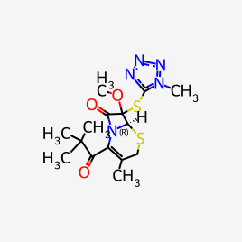 COC1(Sc2nnnn2C)C(=O)N2C(C(=O)C(C)(C)C)=C(C)CS[C@@H]21